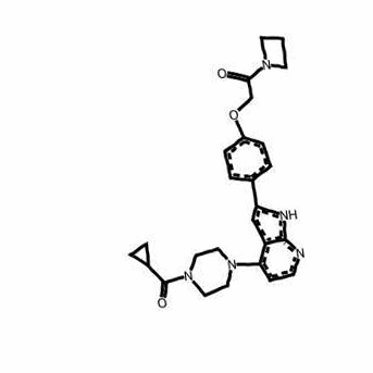 O=C(COc1ccc(-c2cc3c(N4CCN(C(=O)C5CC5)CC4)ccnc3[nH]2)cc1)N1CCC1